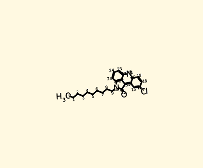 CCCCCCCCCCN1C(=O)c2c3cc(Cl)ccc3nc3cccc1c23